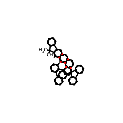 CC1(C)c2ccccc2-c2ccc(N(c3cccc(-c4ccccc4)c3-c3ccccc3-c3ccccc3)c3cccc4c3-c3ccccc3C43c4ccccc4-c4ccccc43)cc21